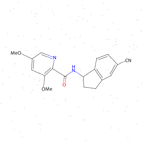 COc1cnc(C(=O)NC2CCc3cc(C#N)ccc32)c(OC)c1